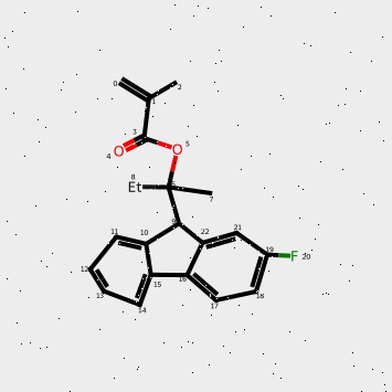 C=C(C)C(=O)OC(C)(CC)C1c2ccccc2-c2ccc(F)cc21